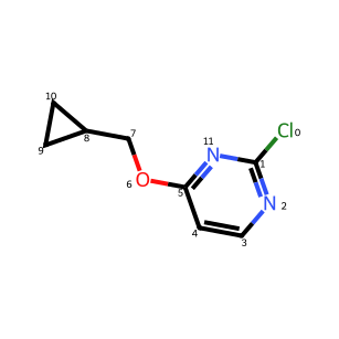 Clc1nccc(OCC2CC2)n1